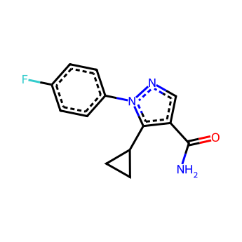 NC(=O)c1cnn(-c2ccc(F)cc2)c1C1CC1